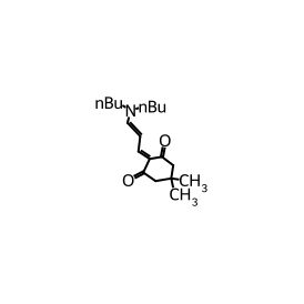 CCCCN(C=CC=C1C(=O)CC(C)(C)CC1=O)CCCC